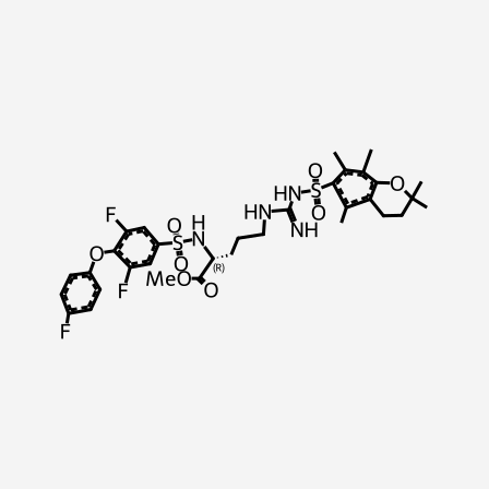 COC(=O)[C@@H](CCCNC(=N)NS(=O)(=O)c1c(C)c(C)c2c(c1C)CCC(C)(C)O2)NS(=O)(=O)c1cc(F)c(Oc2ccc(F)cc2)c(F)c1